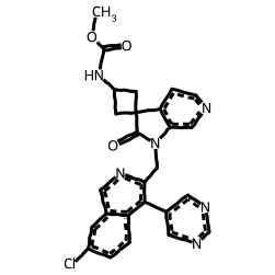 COC(=O)NC1CC2(C1)C(=O)N(Cc1ncc3cc(Cl)ccc3c1-c1cncnc1)c1cnccc12